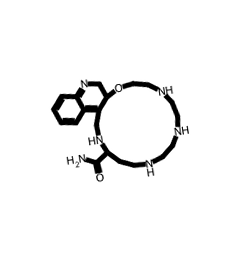 NC(=O)C1CCNCCNCCNCCOC2CN=c3ccccc3=C2CN1